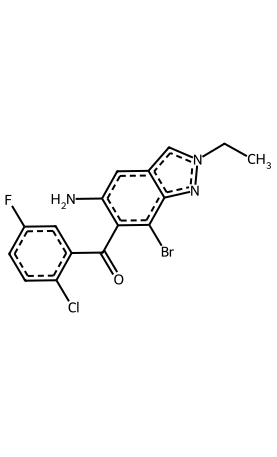 CCn1cc2cc(N)c(C(=O)c3cc(F)ccc3Cl)c(Br)c2n1